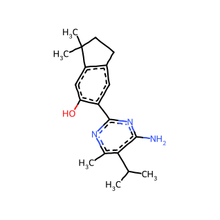 Cc1nc(-c2cc3c(cc2O)C(C)(C)CC3)nc(N)c1C(C)C